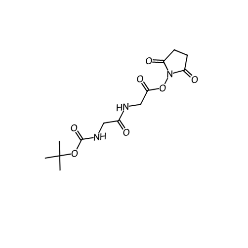 CC(C)(C)OC(=O)NCC(=O)NCC(=O)ON1C(=O)CCC1=O